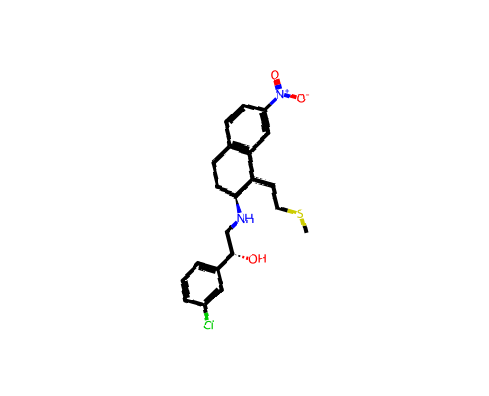 CSCCC1c2cc([N+](=O)[O-])ccc2CC[C@@H]1NC[C@H](O)c1cccc(Cl)c1